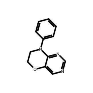 c1ccc(N2CCOc3cncnc32)cc1